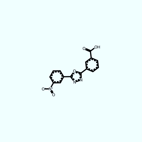 O=C(O)c1cccc(-c2nnc(-c3cccc([N+](=O)[O-])c3)o2)c1